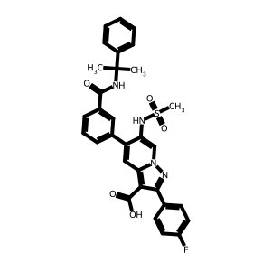 CC(C)(NC(=O)c1cccc(-c2cc3c(C(=O)O)c(-c4ccc(F)cc4)nn3cc2NS(C)(=O)=O)c1)c1ccccc1